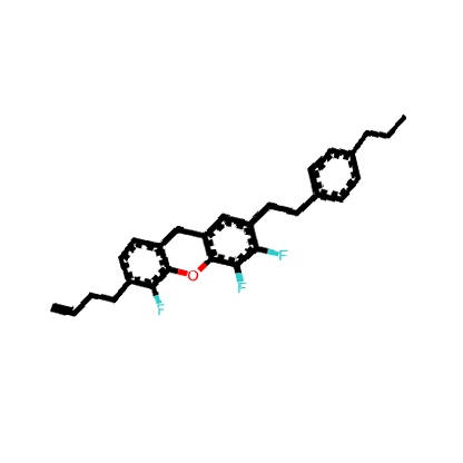 C=CCCc1ccc2c(c1F)Oc1c(cc(CCc3ccc(CCC)cc3)c(F)c1F)C2